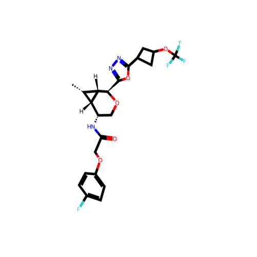 C[C@H]1[C@@H]2[C@H]1[C@@H](c1nnc(C3CC(OC(F)(F)F)C3)o1)OC[C@@H]2NC(=O)COc1ccc(F)cc1